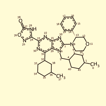 CC1CCC(Cn2c(N3CCOC[C@H]3c3ccccc3)nc3nc(-c4noc(=O)[nH]4)nc(C4CCCC(C)C4)c32)CC1